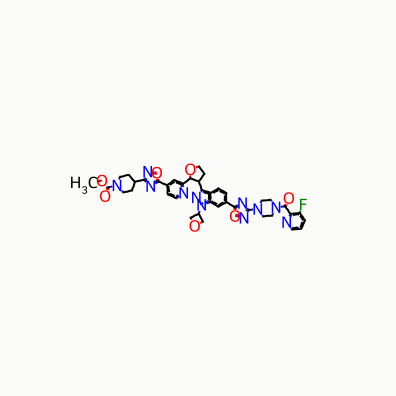 COC(=O)N1CCC(c2noc(-c3ccnc(C4OCCC4c4nn(C5COC5)c5cc(-c6nc(N7CCN(C(=O)c8ncccc8F)CC7)no6)ccc45)c3)n2)CC1